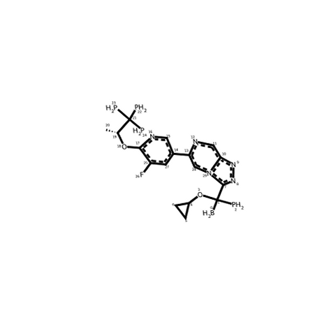 BC(P)(OC1CC1)c1nnc2cnc(-c3cnc(O[C@H](C)C(P)(P)P)c(F)c3)cn12